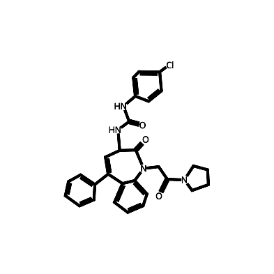 O=C(Nc1ccc(Cl)cc1)NC1C=C(c2ccccc2)c2ccccc2N(CC(=O)N2CCCC2)C1=O